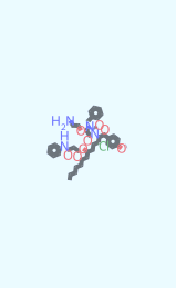 CCCCCCCC(CCC(Cl)C(C(=O)c1ccc(OC)cc1)N1C(=O)C(OCCN)N(Cc2ccccc2)C1=O)OC(=O)CC(=O)Nc1ccccc1